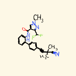 Cn1cc(C(=O)Nc2ccccc2-c2ccc(C#CC(C)(C)C#N)cc2)c(C(F)F)n1